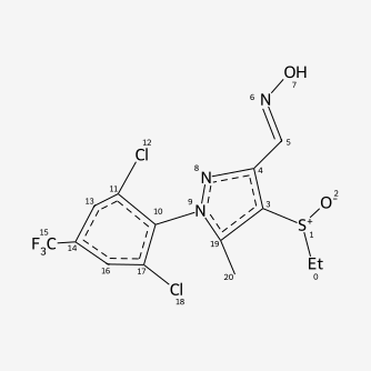 CC[S+]([O-])c1c(C=NO)nn(-c2c(Cl)cc(C(F)(F)F)cc2Cl)c1C